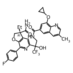 CC[C@]1(C(N)=O)COc2c1cc(C(O)(CNC(=O)c1cc(OC3CC3)c3ncc(C)cc3c1)C(F)(F)F)nc2-c1ccc(F)cc1